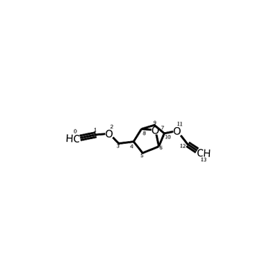 C#COCC1CC2OC1CC2OC#C